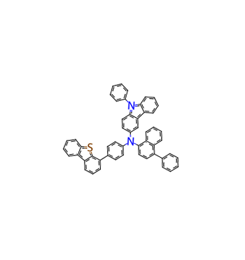 c1ccc(-c2ccc(N(c3ccc(-c4cccc5c4sc4ccccc45)cc3)c3ccc4c(c3)c3ccccc3n4-c3ccccc3)c3ccccc23)cc1